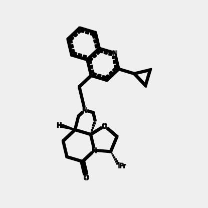 CC(C)[C@H]1CO[C@]23CCN(Cc4cc(C5CC5)nc5ccccc45)C[C@H]2CCC(=O)N13